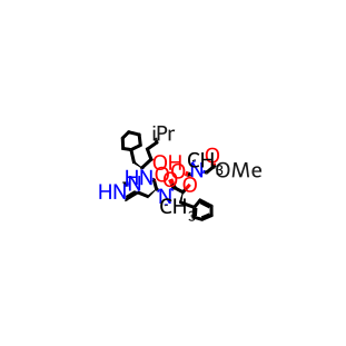 COC(=O)CN(C)C(=O)O[C@@H](Cc1ccccc1)C(=O)N(C)[C@@H](Cc1c[nH]cn1)C(=O)N[C@@H](CC1CCCCC1)[C@@H](O)CCC(C)C